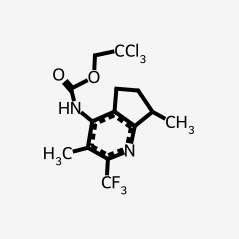 Cc1c(C(F)(F)F)nc2c(c1NC(=O)OCC(Cl)(Cl)Cl)CCC2C